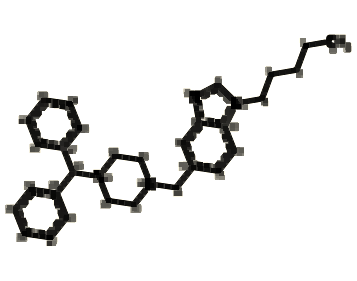 CCCCCn1cnc2cc(CN3CCN(C(c4ccccc4)c4ccccc4)CC3)ccc21